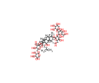 CC(C)=CCCC(C)(OC1OC(COC2OCC(O)C(O)C2O)C(O)C(O)C1O)C1CCC2(C)C1C(O)CC1C3(C)CCC(OC4OC(CO)C(O)C(O)C4OC4OC(CO)C(O)C(O)C4OC4OCC(O)C(O)C4O)C(C)(C)C3CCC12C